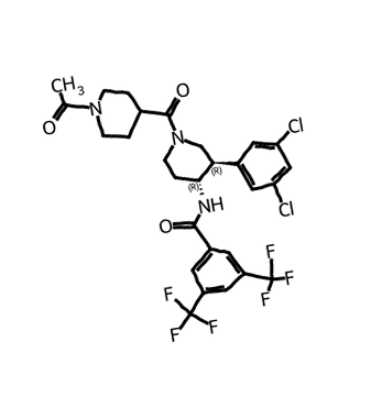 CC(=O)N1CCC(C(=O)N2CC[C@@H](NC(=O)c3cc(C(F)(F)F)cc(C(F)(F)F)c3)[C@H](c3cc(Cl)cc(Cl)c3)C2)CC1